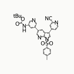 Cc1ccc(S(=O)(=O)n2cc(-c3ccnc(C#N)c3)c3cc(-c4cncc(NC(=O)OC(C)(C)C)c4)cnc32)cc1